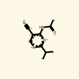 CC(=O)Nc1nc(C(C)C)ncc1C#N